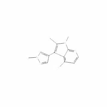 Cc1c(-c2cnn(C)c2)c2c(N)ccnc2n1C